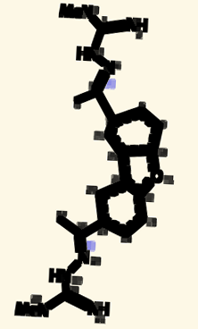 CNC(=N)N/N=C(\C)c1ccc2oc3ccc(/C(C)=N/NC(=N)NC)cc3c2c1